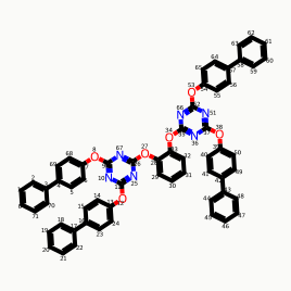 c1ccc(-c2ccc(Oc3nc(Oc4ccc(-c5ccccc5)cc4)nc(Oc4ccccc4Oc4nc(Oc5ccc(-c6ccccc6)cc5)nc(Oc5ccc(-c6ccccc6)cc5)n4)n3)cc2)cc1